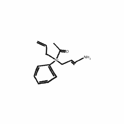 C=CC[N+](CC=CN)(C(C)=O)c1ccccc1